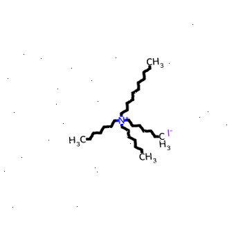 CCCCCCCCCCC[N+](CCCCCCC)(CCCCCCC)CCCCCCC.[I-]